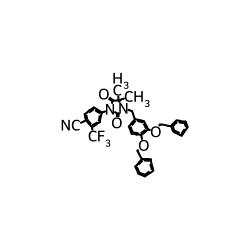 CC1(C)C(=O)N(c2ccc(C#N)c(C(F)(F)F)c2)C(=O)N1Cc1ccc(OCc2ccccc2)c(OCc2ccccc2)c1